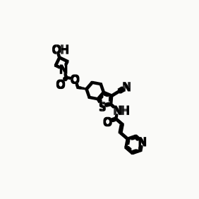 N#Cc1c(NC(=O)C=Cc2cccnc2)sc2c1CC[C@H](COC(=O)N1CC(O)C1)C2